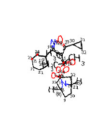 CC(C)(C)OC(=O)N1[C@@H]2CC[C@H]1C[C@@H](OC(=O)c1c(C34CCC(CC3)CC4)noc1C1CC1)C2